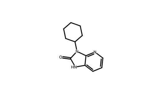 O=c1[nH]c2cccnc2n1C1CCCCC1